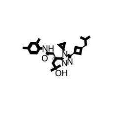 Cc1ccc(NC(=O)C[C@H](CC(C)(C)O)c2nnc([C@H]3C[C@@H](CC(C)C)C3)n2C2CC2)c(C)c1